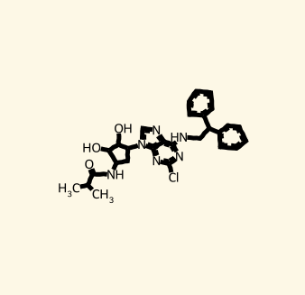 CC(C)C(=O)NC1CC(n2cnc3c(NCC(c4ccccc4)c4ccccc4)nc(Cl)nc32)C(O)C1O